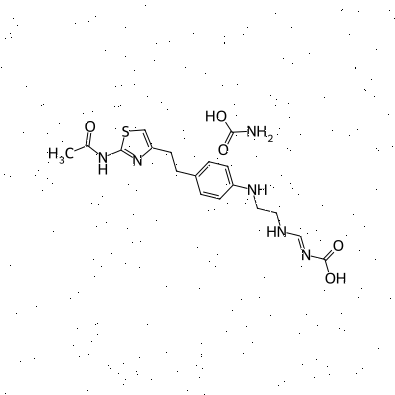 CC(=O)Nc1nc(CCc2ccc(NCCNC=NC(=O)O)cc2)cs1.NC(=O)O